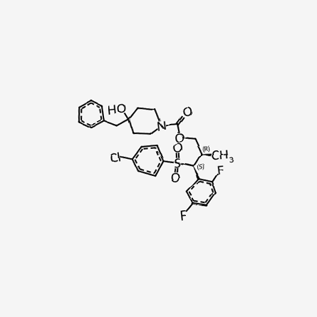 C[C@H](COC(=O)N1CCC(O)(Cc2ccccc2)CC1)[C@@H](c1cc(F)ccc1F)S(=O)(=O)c1ccc(Cl)cc1